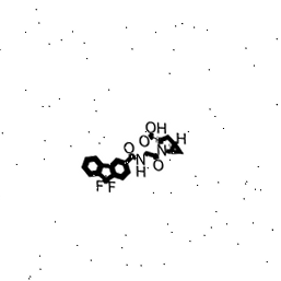 O=C(NCC(=O)N1C2C[C@H]2C[C@H]1C(=O)O)c1ccc2c(c1)-c1ccccc1C2(F)F